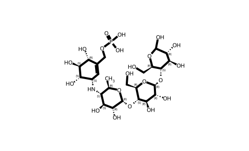 C[C@H]1O[C@H](O[C@H]2[C@H](O)[C@@H](O)[C@@H](O[C@H]3[C@H](O)[C@@H](O)C(O)O[C@@H]3CO)O[C@@H]2CO)[C@H](O)[C@@H](O)[C@@H]1N[C@H]1C=C(COP(=O)(O)O)[C@@H](O)[C@H](O)[C@H]1O